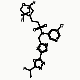 O=S(=O)(CCN1C[C@@H]2C[C@H]1CO2)N(Cc1ncc(-c2nnc(C(F)F)o2)s1)c1cncc(Cl)c1